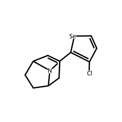 CN1C2C=C(c3[se]ccc3Cl)CC1CC2